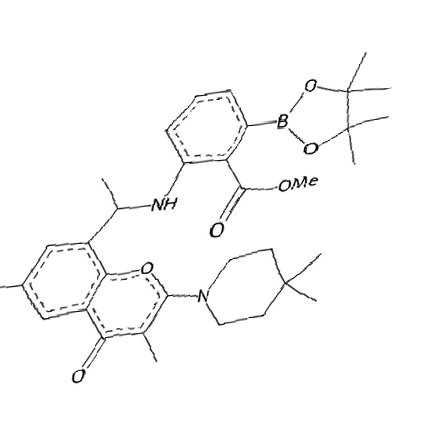 COC(=O)c1c(NC(C)c2cc(C)cc3c(=O)c(C)c(N4CCC(C)(C)CC4)oc23)cccc1B1OC(C)(C)C(C)(C)O1